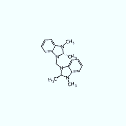 C[C@@H]1N(C)c2ccccc2N1CN1c2ccccc2N(C)[C@@H]1C